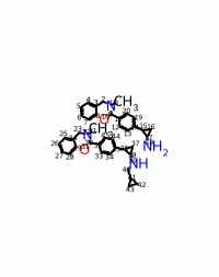 CN(Cc1ccccc1)C(=O)c1ccc(C2CC2N)cc1.CN(Cc1ccccc1)C(=O)c1ccc(C2CC2NCC2CC2)cc1